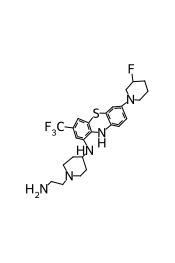 NCCN1CCC(Nc2cc(C(F)(F)F)cc3c2Nc2ccc(N4CCCC(F)C4)cc2S3)CC1